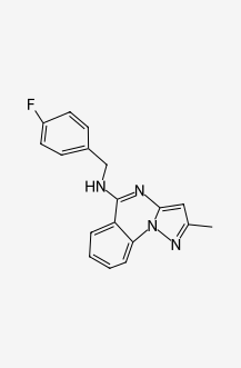 Cc1cc2nc(NCc3ccc(F)cc3)c3ccccc3n2n1